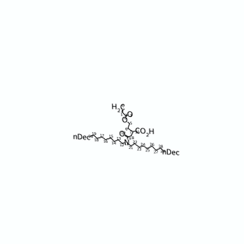 C=CC(=O)OCCC(CC(=O)N(CCCCCCCCCCCCCCCCCC)CCCCCCCCCCCCCCCCCC)C(=O)O